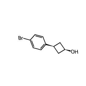 O[C@H]1C[C@@H](c2ccc(Br)cc2)C1